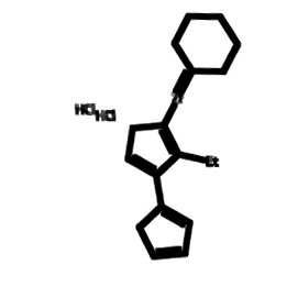 CCC1=[C]([Zr]=[C]2CCCCC2)CC=C1C1=CC=CC1.Cl.Cl